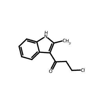 Cc1[nH]c2ccccc2c1C(=O)CCCl